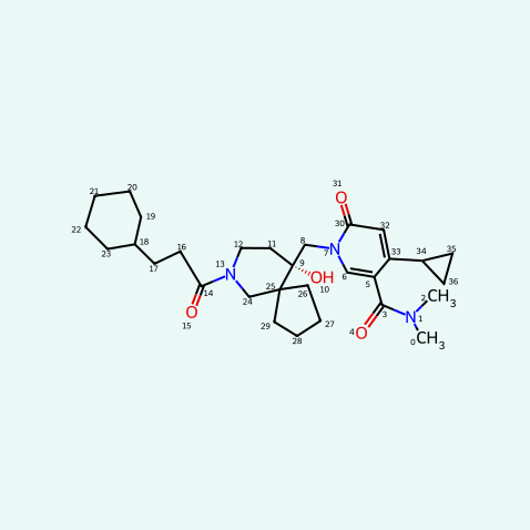 CN(C)C(=O)c1cn(C[C@]2(O)CCN(C(=O)CCC3CCCCC3)CC23CCCC3)c(=O)cc1C1CC1